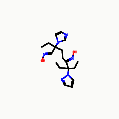 CCC(C=NO)(CCC(=NO)C(CC)(CC)n1cccn1)n1ccnc1